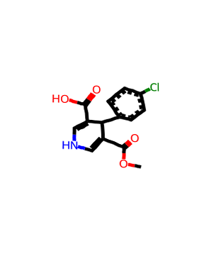 COC(=O)C1=CNC=C(C(=O)O)C1c1ccc(Cl)cc1